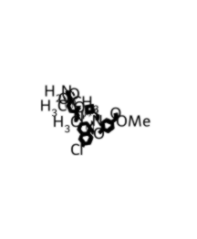 COC(=O)c1ccc2c(c1)N(C[C@@H]1CC[C@H]1CN(C)C(=O)C[C@@H](C)[C@@H](C)S(N)(=O)=O)C[C@@]1(CCCc3cc(Cl)ccc31)CO2